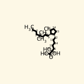 CCCCC(C)(C)C/C=C/[C@@H]1[C@@H](CCCCCC(O)(O)C(=O)O)CC[C@H]1Cl